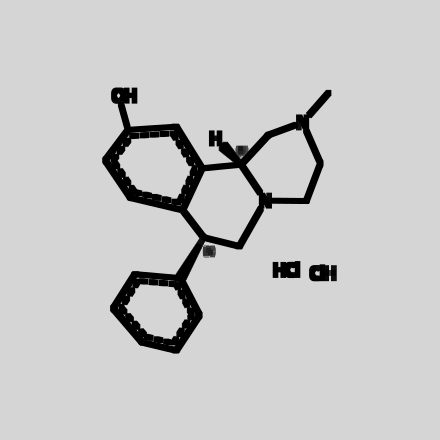 CN1CCN2C[C@@H](c3ccccc3)c3ccc(O)cc3[C@@H]2C1.Cl.Cl